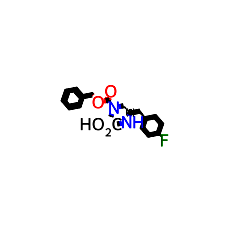 CN(C[C@H](C[C@H]1CC[C@H](F)CC1)NC(=O)O)C(=O)OCc1ccccc1